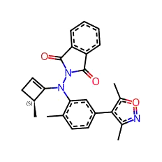 Cc1ccc(-c2c(C)noc2C)cc1N(C1=CC[C@@H]1C)N1C(=O)c2ccccc2C1=O